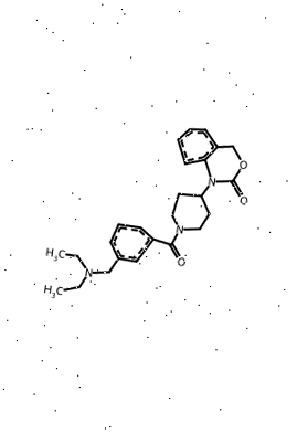 CCN(CC)Cc1cccc(C(=O)N2CCC(N3C(=O)OCc4ccccc43)CC2)c1